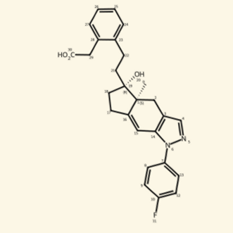 C[C@]12Cc3cnn(-c4ccc(F)cc4)c3C=C1CC[C@@]2(O)CCc1ccccc1CC(=O)O